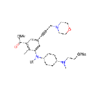 CCN(c1cc(C#CCN2CCOCC2)cc(C(=O)OC)c1C)C1CCC(N(C)CCOC)CC1